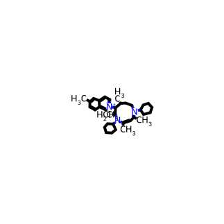 C=C1C([n+]2ccc3cc(C)ccc3c2C)C(C)CC/[N+](C2CCCCC2)=C(C)\C=C(\C)N1C1CCCCC1